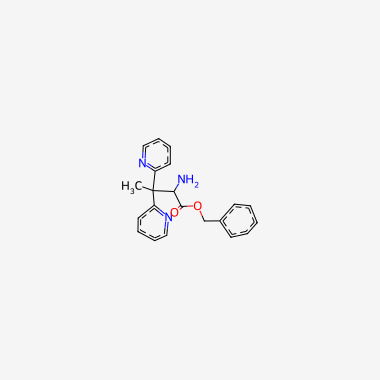 CC(c1ccccn1)(c1ccccn1)C(N)C(=O)OCc1ccccc1